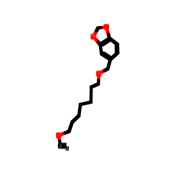 COCCCCCCCOCc1ccc2c(c1)OCO2